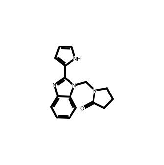 O=C1CCCN1Cn1c(-c2ccc[nH]2)nc2ccccc21